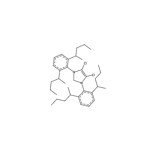 CCCC(C)c1cccc(C(C)CCC)c1N1CN(c2c(C(C)CCC)cccc2C(C)CCC)C(Cl)=C1Cl